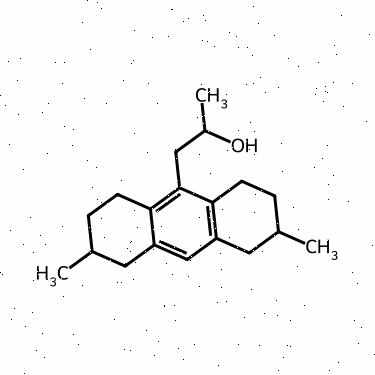 CC(O)Cc1c2c(cc3c1CCC(C)C3)CC(C)CC2